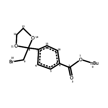 CCCCOC(=O)c1ccc(C2(CBr)OCCO2)cc1